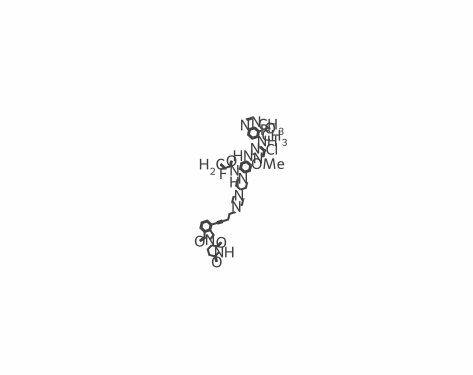 C=C(F)C(=O)Nc1cc(Nc2ncc(Cl)c(Nc3ccc4nccnc4c3P(C)(C)=O)n2)c(OC)cc1N1CCC(N2CCN(CCCC#Cc3cccc4c3CN(C3CCC(=O)NC3=O)C4=O)CC2)CC1